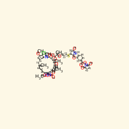 COc1cc2cc(c1Cl)N(C)C(=O)C[C@H](OC(=O)[C@@H](C)OCCCSC1CC(=O)N(C[C@H]3CC[C@H](C(=O)ON4C(=O)CCC4=O)CC3)C1=O)[C@]1(C)O[C@H]1[C@H](C)[C@@H]1C[C@@](O)(NC(=O)O1)[C@H](OC)/C=C/C=C(\C)C2